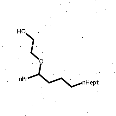 CCCCCCCCCCC(CCC)OCCO